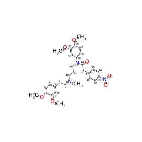 COc1ccc(CCN(C)CCCN(C(=O)Cc2ccc([N+](=O)[O-])cc2)c2ccc(OC)c(OC)c2)cc1OC